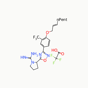 CCCCCC=CCOc1ccc(-c2noc(C3CCCN3C(=N)N)n2)cc1C(F)(F)F.O=C(O)C(F)(F)F